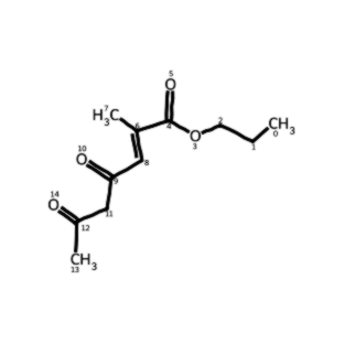 CCCOC(=O)C(C)=CC(=O)CC(C)=O